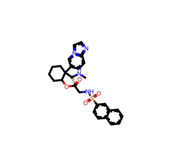 CNC(=S)C1(c2ccc3nccn3c2)CCCCC1OC(=O)CNS(=O)(=O)c1ccc2ccccc2c1